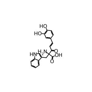 NC(Cc1c[nH]c2ccccc12)(C(=O)O)C(=O)C=Cc1ccc(O)c(O)c1